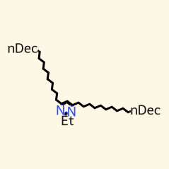 [CH2]Cc1nc(CCCCCCCCCCCCCCCCCCCC)cc(CCCCCCCCCCCCCCCCCCCC)n1